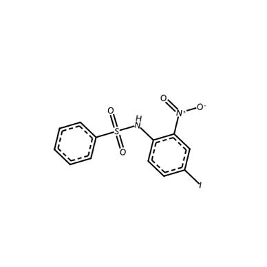 O=[N+]([O-])c1cc(I)ccc1NS(=O)(=O)c1ccccc1